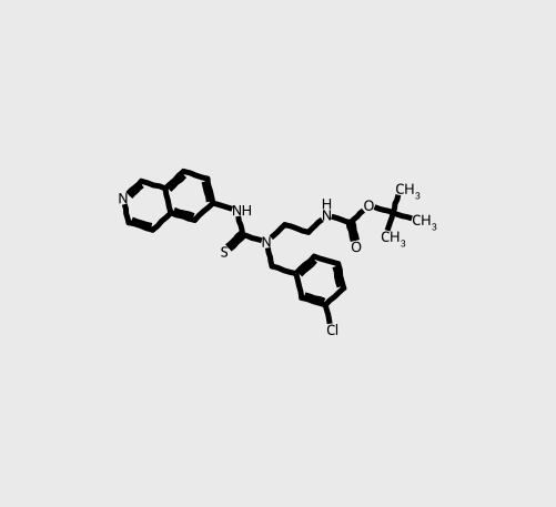 CC(C)(C)OC(=O)NCCN(Cc1cccc(Cl)c1)C(=S)Nc1ccc2cnccc2c1